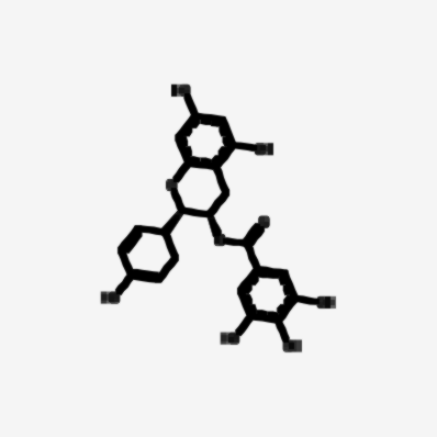 O=C(O[C@@H]1Cc2c(O)cc(O)cc2O[C@@H]1C1C=CC(O)=CC1)c1cc(O)c(O)c(O)c1